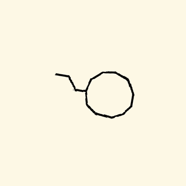 CC[CH]C1CCCCCCCCCC1